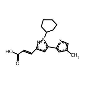 Cc1csc(-c2cc(C=CC(=O)O)nn2C2CCCCC2)c1